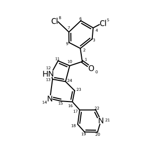 O=C(c1cc(Cl)cc(Cl)c1)c1c[nH]c2ncc(-c3cccnc3)cc12